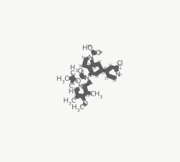 COc1c(C)cnc(CN(C(=O)OC(C)(C)C)c2cc(-c3ccnc(Cl)c3)cc3c2ccn3C(=O)O)c1C